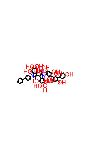 Cc1c(-c2c(/C(O)=C/O)n(-c3c(O)cc(O)c(-c4c(O)cc(O)c(-c5ccc(O)cc5)c4O)c3O)c3c(O)c(O)c(O)c(O)c23)c2c(O)c(O)c(O)c(O)c2n1-c1ccc(-c2ccccc2)cc1